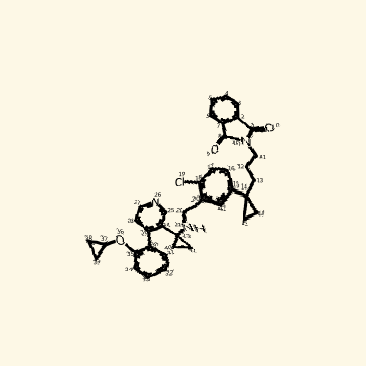 O=C1c2ccccc2C(=O)N1CCCC1(c2ccc(Cl)c(CNC3(c4cnccc4-c4ccccc4OC4CC4)CC3)c2)CC1